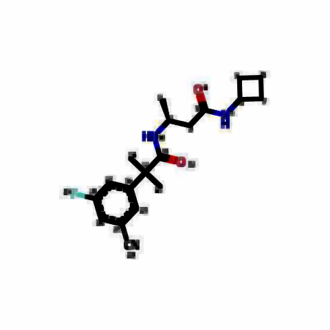 C[C@@H](CC(=O)NC1CCC1)NC(=O)C(C)(C)c1cc(F)cc(C#N)c1